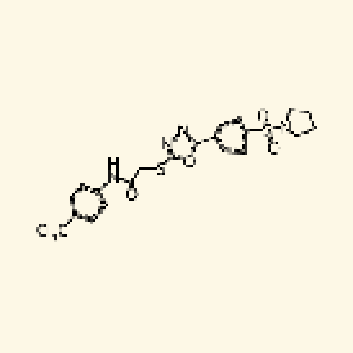 O=C(CSc1nnc(-c2ccc(S(=O)(=O)N3CCCC3)cc2)o1)Nc1ccc(C(Cl)(Cl)Cl)cc1